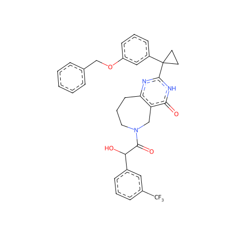 O=C(C(O)c1cccc(C(F)(F)F)c1)N1CCCc2nc(C3(c4cccc(OCc5ccccc5)c4)CC3)[nH]c(=O)c2C1